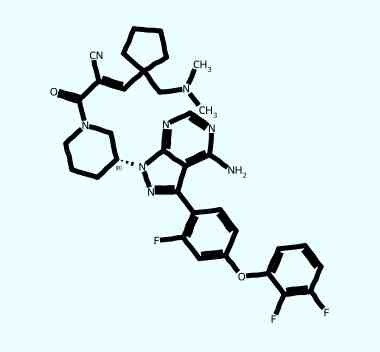 CN(C)CC1(C=C(C#N)C(=O)N2CCC[C@@H](n3nc(-c4ccc(Oc5cccc(F)c5F)cc4F)c4c(N)ncnc43)C2)CCCC1